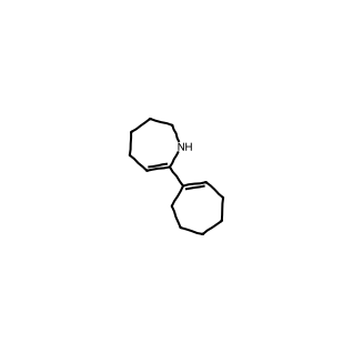 C1=C(C2=CCCCCN2)CCCCC1